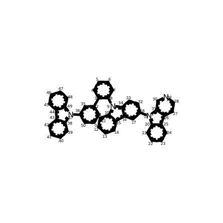 c1cc(-c2ccccc2-n2c3ccccc3c3cc(-n4c5ccccc5c5ccncc54)ccc32)cc(-n2c3ccccc3c3ccccc32)c1